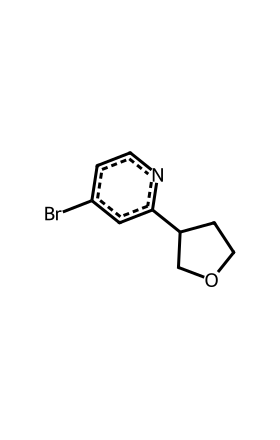 Brc1ccnc(C2CCOC2)c1